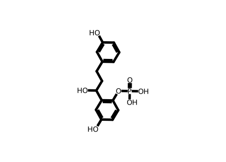 O=P(O)(O)Oc1ccc(O)cc1C(O)CCc1cccc(O)c1